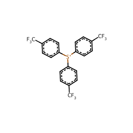 FC(F)(F)c1ccc([S+](c2ccc(C(F)(F)F)cc2)c2ccc(C(F)(F)F)cc2)cc1